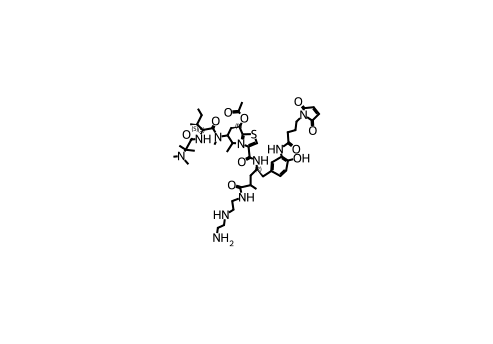 CC[C@H](C)[C@H](NC(=O)C(C)(C)N(C)C)C(=O)N(C)C(C[C@@H](OC(C)=O)c1nc(C(=O)N[C@@H](Cc2ccc(O)c(NC(=O)CCCN3C(=O)C=CC3=O)c2)CC(C)C(=O)NCCNCCN)cs1)C(C)C